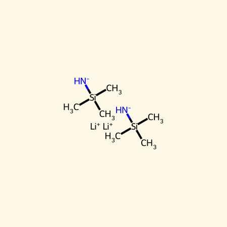 C[Si](C)(C)[NH-].C[Si](C)(C)[NH-].[Li+].[Li+]